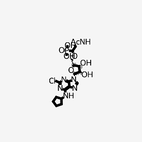 CC(=O)NCC(OC[C@H]1O[C@@H](n2cnc3c(NC4CCCC4)nc(Cl)nc32)[C@H](O)[C@@H]1O)P(=O)(O)O